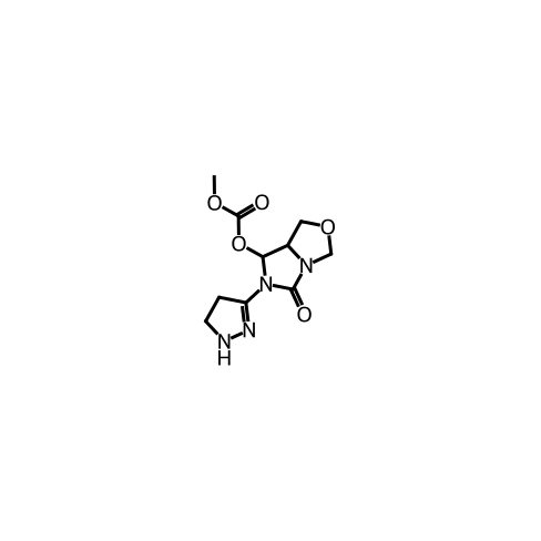 COC(=O)OC1C2COCN2C(=O)N1C1=NNCC1